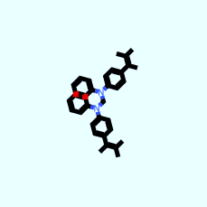 CC(C)=C(C)c1ccc(N(CN(c2ccccc2)c2ccc(C(C)=C(C)C)cc2)c2ccccc2)cc1